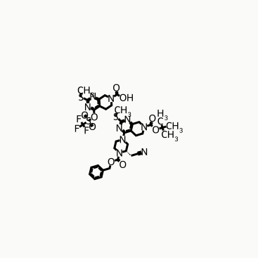 CSc1nc2c(c(N3CCN(C(=O)OCc4ccccc4)[C@@H](CC#N)C3)n1)CCN(C(=O)OC(C)(C)C)C2.CSc1nc2c(c(OS(=O)(=O)C(F)(F)F)n1)CCN(C(=O)O)C2